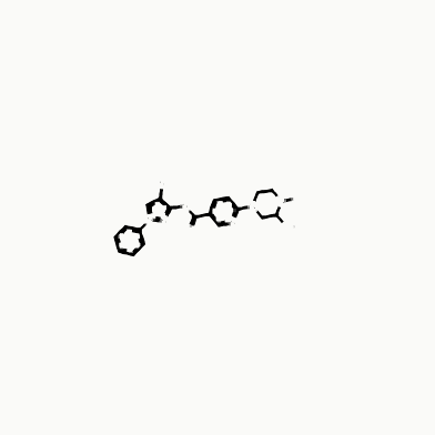 CC(C)(C)C1CN(c2ccc(C(=O)Nc3nn(-c4ccccc4)cc3N)cn2)CCN1C(=O)O